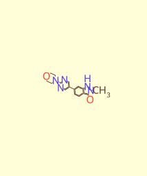 Cn1[nH]c2cc(-c3cnc(N4CCOCC4)nc3)ccc2c1=O